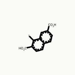 O=C(O)c1ccc2ccc(C(=O)O)c(I)c2c1